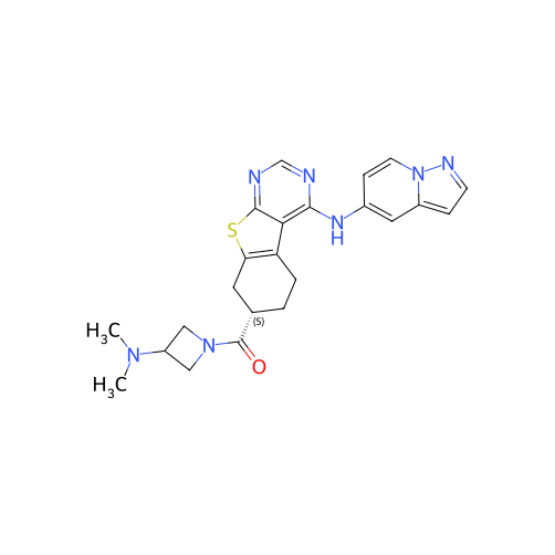 CN(C)C1CN(C(=O)[C@H]2CCc3c(sc4ncnc(Nc5ccn6nccc6c5)c34)C2)C1